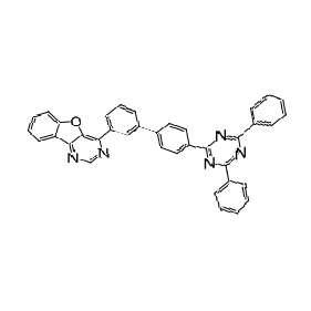 c1ccc(-c2nc(-c3ccccc3)nc(-c3ccc(-c4cccc(-c5ncnc6c5oc5ccccc56)c4)cc3)n2)cc1